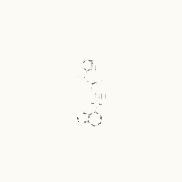 Cc1csc(NC(=O)CNS(=O)(=O)c2cccc3nsnc23)n1